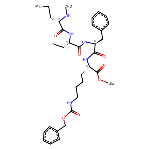 CSCC[C@H](NC=O)C(=O)N[C@@H](CC(C)C)C(=O)N[C@@H](Cc1ccccc1)C(=O)N[C@@H](CCCCNC(=O)OCc1ccccc1)C(=O)OC(C)(C)C